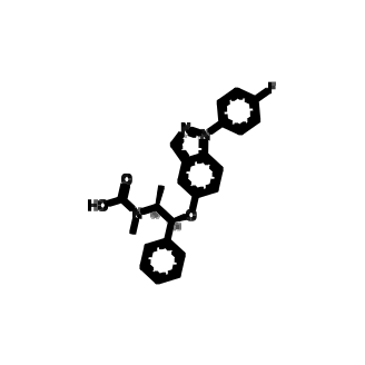 C[C@@H]([C@@H](Oc1ccc2c(cnn2-c2ccc(F)cc2)c1)c1ccccc1)N(C)C(=O)O